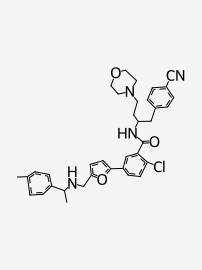 Cc1ccc(C(C)NCc2ccc(-c3ccc(Cl)c(C(=O)NC(CCN4CCOCC4)Cc4ccc(C#N)cc4)c3)o2)cc1